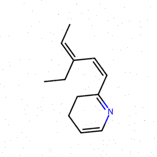 C/C=C(\C=C/C1=NC=CCC1)CC